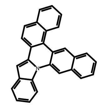 c1ccc2cc3c(cc2c1)c1c2ccccc2ccc1c1cc2ccccc2n31